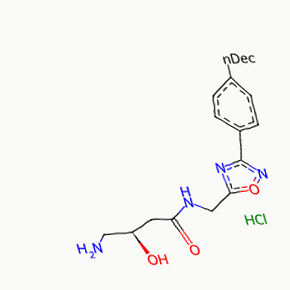 CCCCCCCCCCc1ccc(-c2noc(CNC(=O)C[C@@H](O)CN)n2)cc1.Cl